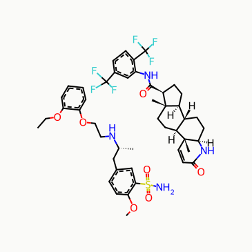 CCOc1ccccc1OCCN[C@H](C)Cc1ccc(OC)c(S(N)(=O)=O)c1.C[C@]12C=CC(=O)N[C@@H]1CC[C@@H]1[C@@H]2CC[C@]2(C)[C@@H](C(=O)Nc3cc(C(F)(F)F)ccc3C(F)(F)F)CC[C@@H]12